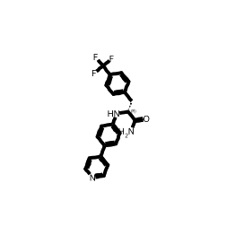 NC(=O)[C@@H](Cc1ccc(C(F)(F)F)cc1)Nc1ccc(-c2ccncc2)cc1